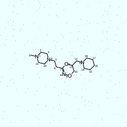 CN1CCN(CCC2=NOCC(CN3CCCCC3)O2)CC1